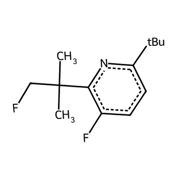 CC(C)(C)c1ccc(F)c(C(C)(C)CF)n1